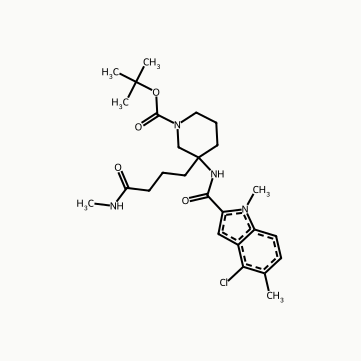 CNC(=O)CCCC1(NC(=O)c2cc3c(Cl)c(C)ccc3n2C)CCCN(C(=O)OC(C)(C)C)C1